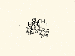 CC1C(=O)Nc2c(-c3ncccn3)cc(-c3ccc(F)c(F)c3)cc21